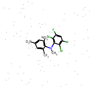 CN(c1c([N+](=O)[O-])cc([N+](=O)[O-])cc1C(F)(F)F)c1c(Br)c(F)cc(F)c1Br